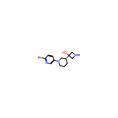 CC(C)c1ccc(N2CCC[C@H](C3(O)CN(C)C3)C2)cn1